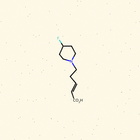 O=C(O)C=CCCN1CCC(F)CC1